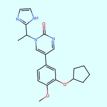 COc1ccc(-c2cnc(=O)n(C(C)c3ncc[nH]3)c2)cc1OC1CCCC1